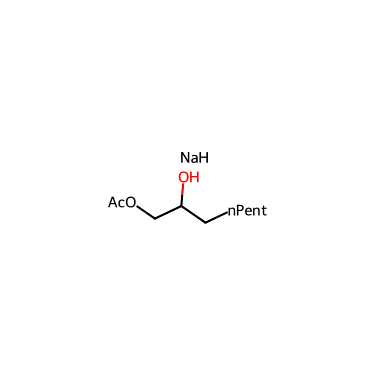 CCCCCCC(O)COC(C)=O.[NaH]